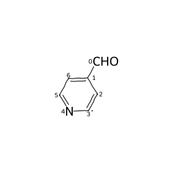 O=Cc1c[c]ncc1